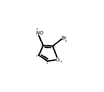 O=Nc1ccoc1Br